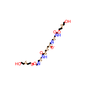 O=C(NCSC/N=C/[S+]([O-])CSCSC(=O)NCSC/N=C\OOCCSCCO)OCCSCCO